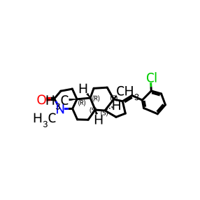 CN1C(=O)CC[C@@]2(C)C1CC[C@@H]1[C@H]2CC[C@]2(C)C(=Cc3ccccc3Cl)CC[C@@H]12